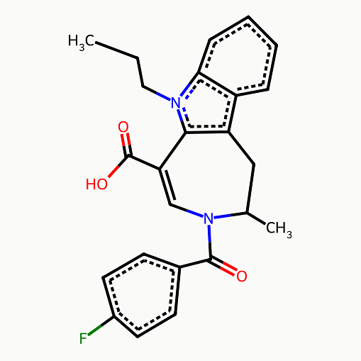 CCCn1c2c(c3ccccc31)CC(C)N(C(=O)c1ccc(F)cc1)C=C2C(=O)O